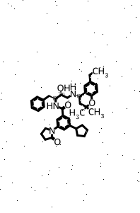 CCc1ccc2c(c1)[C@@H](NC[C@@H](O)[C@H](Cc1ccccc1)NC(=O)c1cc(C3CCCC3)cc(N3CCCC3=O)c1)CC(C)(C)O2